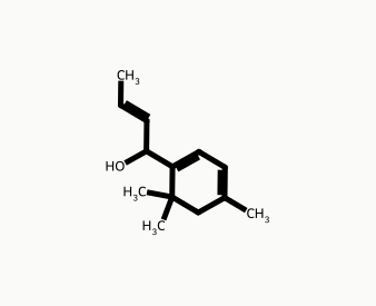 CC=CC(O)C1=CC=C(C)CC1(C)C